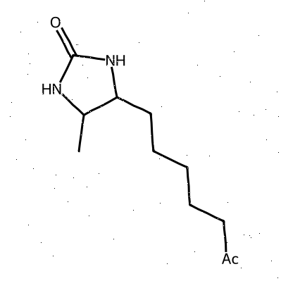 CC(=O)CCCCCC1NC(=O)NC1C